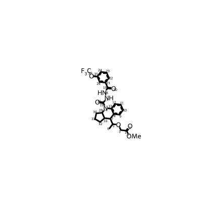 COC(=O)COC(C)C1c2ccccc2N(C(=O)NNC(=O)c2cccc(OC(F)(F)F)c2)C2CCCC12